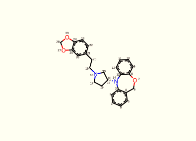 c1ccc2c(c1)COc1ccccc1N2[C@@H]1CCN(CCc2ccc3c(c2)OCO3)C1